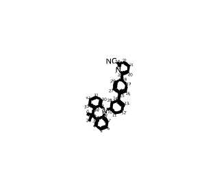 CC1(C)c2ccccc2N(C2CCC=C(C3=CCC(c4cccc(C#N)n4)C=C3)C2)c2ccccc21